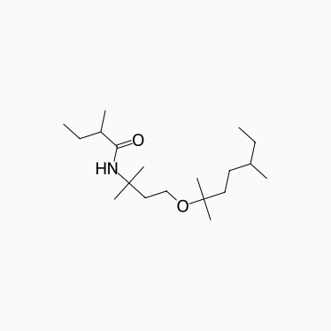 CCC(C)CCC(C)(C)OCCC(C)(C)NC(=O)C(C)CC